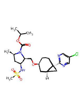 CC(C)OC(=O)N1[C@H](C)C[C@H](NS(C)(=O)=O)[C@@H]1CO[C@H]1CC[C@@]2(c3ncc(Cl)cn3)C[C@H]2C1